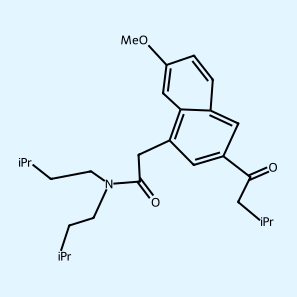 COc1ccc2cc(C(=O)CC(C)C)cc(CC(=O)N(CCC(C)C)CCC(C)C)c2c1